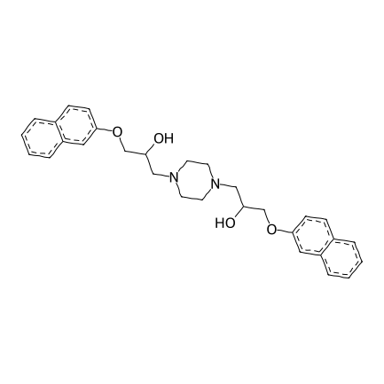 OC(COc1ccc2ccccc2c1)CN1CCN(CC(O)COc2ccc3ccccc3c2)CC1